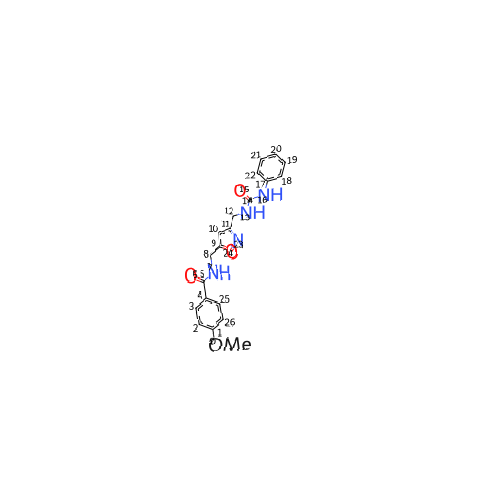 COc1ccc(C(=O)NCc2cc(CNC(=O)Nc3ccccc3)no2)cc1